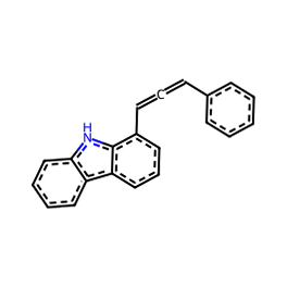 C(=Cc1ccccc1)=Cc1cccc2c1[nH]c1ccccc12